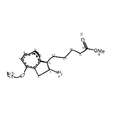 CCOc1cccc2c1CC(N)C2CCCCC(=O)OC